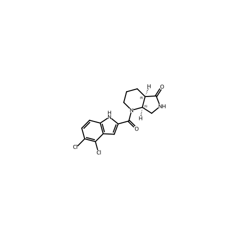 O=C1NC[C@@H]2[C@H]1CCCN2C(=O)c1cc2c(Cl)c(Cl)ccc2[nH]1